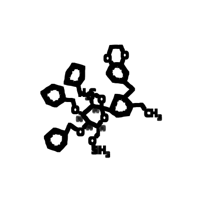 CCc1ccc(C2(OC)O[C@H](CO[SiH3])[C@@H](OCc3ccccc3)[C@H](OCc3ccccc3)[C@H]2OCc2ccccc2)cc1Cc1ccc2c(c1)OCCO2